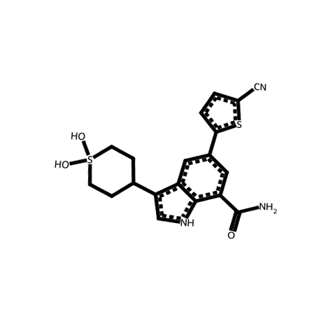 N#Cc1ccc(-c2cc(C(N)=O)c3[nH]cc(C4CCS(O)(O)CC4)c3c2)s1